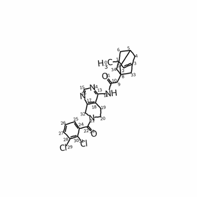 CC12C=C3CC(C1)CC(CC(=O)Nc1ncnc4c1CCN(C(=O)c1cccc(Cl)c1Cl)C4)(C3)C2